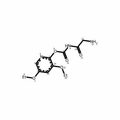 CCOc1cnc(OC(=O)NC(=O)CN)c(OCC)c1